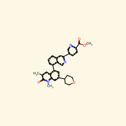 COC(=O)c1ccc(-c2cc3cccc(-c4cc(C5CCOCC5)cc5c4cc(C)c(=O)n5C)c3cn2)cn1